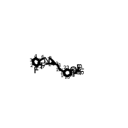 Fc1cccc(CN2CC3C(C[CH]c4cccc(OC(F)(F)F)c4)C3C2)c1F